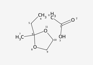 CC(=O)O.CCC1(C)OCCO1